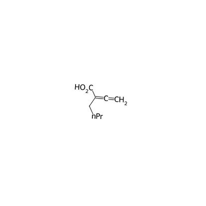 C=C=C(CCCC)C(=O)O